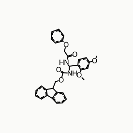 COc1ccc(C(NC(=O)COc2ccccc2)NC(=O)OCC2c3ccccc3-c3ccccc32)c(OC)c1